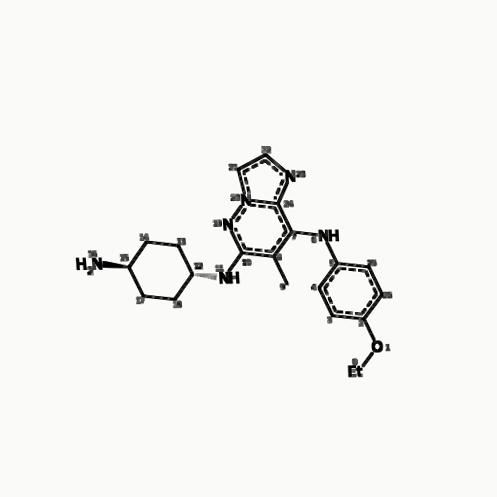 CCOc1ccc(Nc2c(C)c(N[C@H]3CC[C@H](N)CC3)nn3ccnc23)cc1